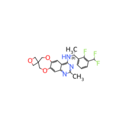 Cc1nc(N[C@H](C)c2cccc(C(F)F)c2F)c2cc3c(cc2n1)OCC1(COC1)CO3